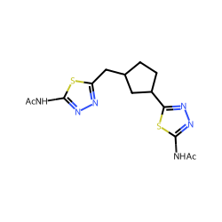 CC(=O)Nc1nnc(CC2CCC(c3nnc(NC(C)=O)s3)C2)s1